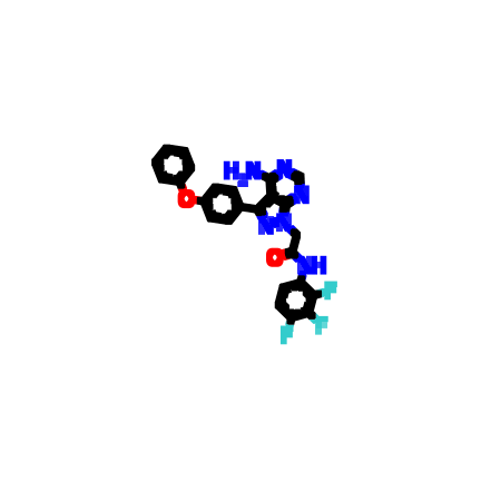 Nc1ncnc2c1c(-c1ccc(Oc3ccccc3)cc1)nn2CC(=O)Nc1ccc(F)c(F)c1F